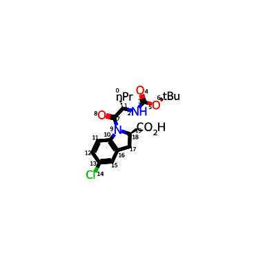 CCC[C@H](NC(=O)OC(C)(C)C)C(=O)N1c2ccc(Cl)cc2C[C@@H]1C(=O)O